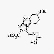 CCOC(=O)c1nc2sc3c(n2c1CNC(C)O)CCC(C(C)(C)C)C3